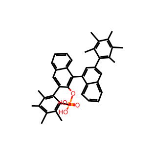 Cc1c(C)c(C)c(-c2cc(-c3c(OP(=O)(O)O)c(-c4c(C)c(C)c(C)c(C)c4C)cc4ccccc34)c3ccccc3c2)c(C)c1C